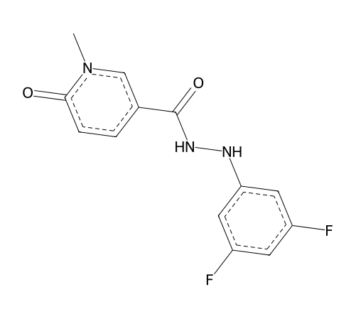 Cn1cc(C(=O)NNc2cc(F)cc(F)c2)ccc1=O